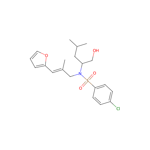 C/C(=C\c1ccco1)CN(C(CO)CC(C)C)S(=O)(=O)c1ccc(Cl)cc1